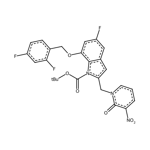 CC(C)(C)OC(=O)n1c(Cn2cccc([N+](=O)[O-])c2=O)cc2cc(F)cc(OCc3ccc(F)cc3F)c21